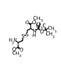 COC(=O)C(N)CSSCC(NC(=O)OC(C)(C)C)C(=O)OC